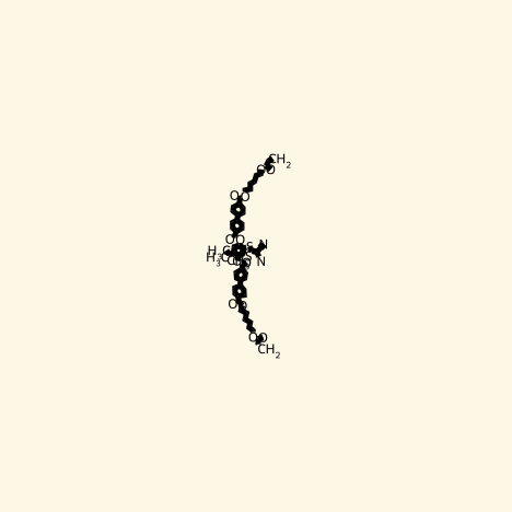 C=CC(=O)OCCCCCCOC(=O)C1CCC(C2CCC(C(=O)Oc3cc(C(C)(C)C)c(OC(=O)C4CCC(C5CCC(C(=O)OCCCCCCOC(=O)C=C)CC5)CC4)c4c3SC(=C(C#N)C#N)S4)CC2)CC1